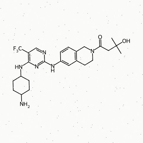 CC(C)(O)CC(=O)N1CCc2cc(Nc3ncc(C(F)(F)F)c(NC4CCC(N)CC4)n3)ccc2C1